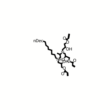 C=CC(=O)OCC(O)CN(CCCCCCCCCCCCCCCCCC)CC(C)N(CC(O)COC(=O)C=C)CC(O)COC(=O)C=C